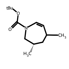 CC1C=CN(C(=O)OC(C)(C)C)C[C@@H](C)C1